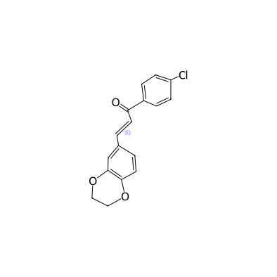 O=C(/C=C/c1ccc2c(c1)OCCO2)c1ccc(Cl)cc1